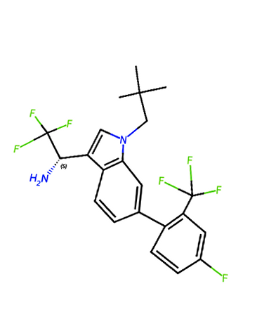 CC(C)(C)Cn1cc([C@H](N)C(F)(F)F)c2ccc(-c3ccc(F)cc3C(F)(F)F)cc21